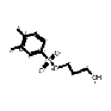 Cc1ccc(S(=O)(=O)OCCCO)cc1C